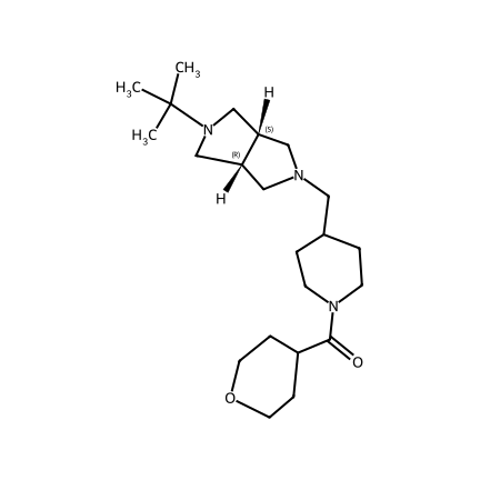 CC(C)(C)N1C[C@H]2CN(CC3CCN(C(=O)C4CCOCC4)CC3)C[C@H]2C1